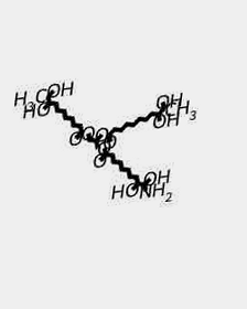 CC(O)C(O)CCCCCCCC(=O)OCC(COC(=O)CCCCCCCC(O)C(N)O)OC(=O)CCCCCCCC(O)C(C)O